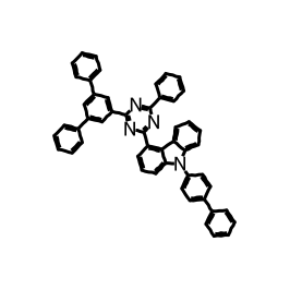 c1ccc(-c2ccc(-n3c4ccccc4c4c(-c5nc(-c6ccccc6)nc(-c6cc(-c7ccccc7)cc(-c7ccccc7)c6)n5)cccc43)cc2)cc1